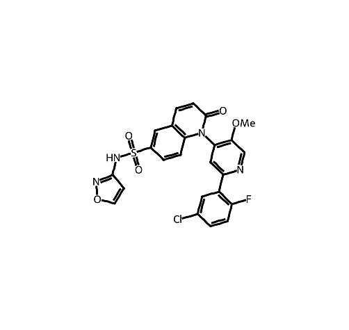 COc1cnc(-c2cc(Cl)ccc2F)cc1-n1c(=O)ccc2cc(S(=O)(=O)Nc3ccon3)ccc21